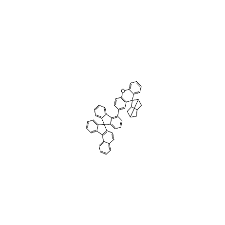 c1ccc2c(c1)Oc1ccc(-c3cccc4c3-c3ccccc3C43c4ccccc4-c4c3ccc3ccccc43)cc1C21C2CC3CC2CC31